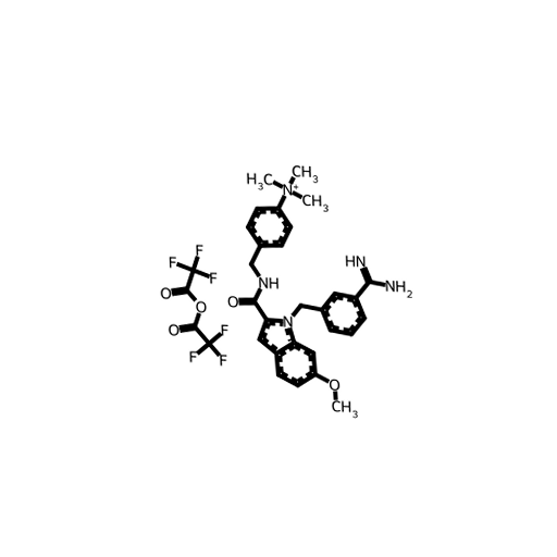 COc1ccc2cc(C(=O)NCc3ccc([N+](C)(C)C)cc3)n(Cc3cccc(C(=N)N)c3)c2c1.O=C(OC(=O)C(F)(F)F)C(F)(F)F